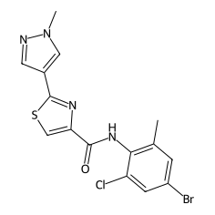 Cc1cc(Br)cc(Cl)c1NC(=O)c1csc(-c2cnn(C)c2)n1